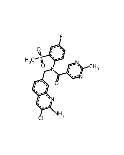 Cc1ncc(C(=O)N(Cc2ccc3cc(Cl)c(N)nc3c2)c2ccc(F)cc2S(C)(=O)=O)cn1